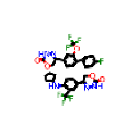 O=C1NN=C(c2ccc(-c3ccc(F)cc3)c(OC(F)(F)F)c2)CO1.O=C1NN=C(c2ccc(NC3CCCC3)c(C(F)(F)F)c2)CO1